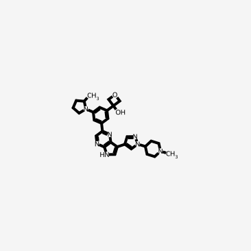 CC1CCCN1c1cc(-c2cnc3[nH]cc(-c4cnn(C5CCN(C)CC5)c4)c3n2)cc(C2(O)COC2)c1